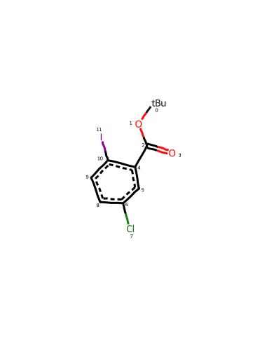 CC(C)(C)OC(=O)c1cc(Cl)ccc1I